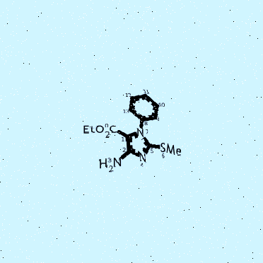 CCOC(=O)c1c(N)nc(SC)n1-c1ccccc1